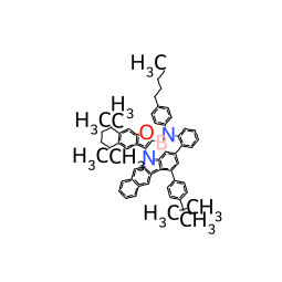 CCCCCc1ccc(N2B3c4oc5cc6c(cc5c4-n4c5cc7ccccc7cc5c5c(-c7ccc(C(C)(C)C)cc7)cc(c3c54)-c3ccccc32)C(C)(C)CCC6(C)C)cc1